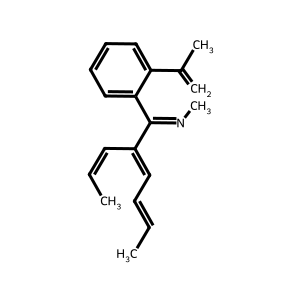 C=C(C)c1ccccc1C(=N\C)/C(/C=C\C)=C/C=C/C